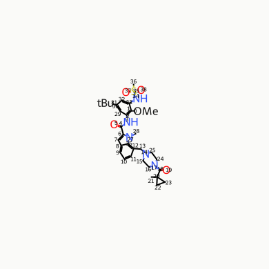 COc1c(NC(=O)c2cc3cccc(CN4CCN(C(=O)C5(C)CC5)CC4)c3n2C)cc(C(C)(C)C)cc1NS(C)(=O)=O